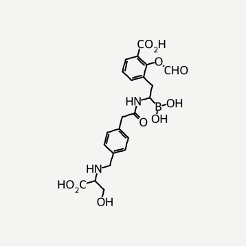 O=COc1c(CC(NC(=O)Cc2ccc(CNC(CO)C(=O)O)cc2)B(O)O)cccc1C(=O)O